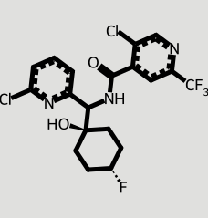 O=C(NC(c1cccc(Cl)n1)[C@]1(O)CC[C@H](F)CC1)c1cc(C(F)(F)F)ncc1Cl